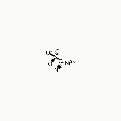 O=S(=O)([O-])[O-].[C-]#N.[Ni+3]